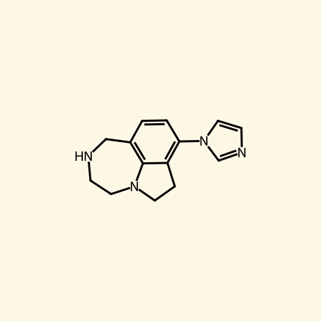 c1cn(-c2ccc3c4c2CCN4CCNC3)cn1